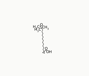 CC(=O)C(C)(C)CCCCCCCCCCCCC1(C(=O)O)CC1